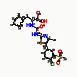 Cc1nc(NC(=O)N[C@@H](Cc2ccccc2)C(=O)O)sc1-c1ccc(Cl)c(S(C)(=O)=O)c1